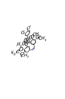 COc1cc(/C=C\c2cc(OC)c(OC)c(OC)c2)cc(NS(=O)(=O)c2ccc(Cl)c(Cl)c2)c1OC